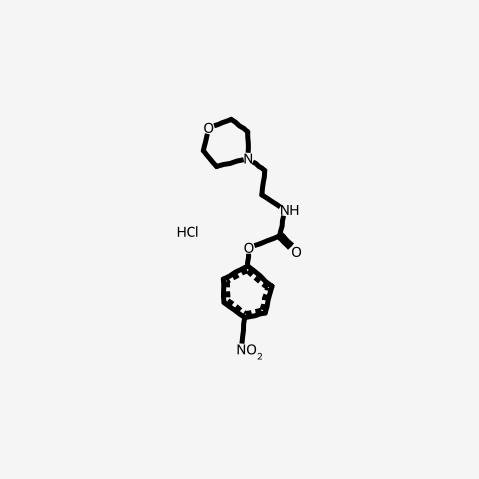 Cl.O=C(NCCN1CCOCC1)Oc1ccc([N+](=O)[O-])cc1